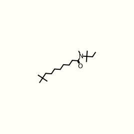 CCC(C)(C)N(C)C(=O)CCCCCCCC(C)(C)C